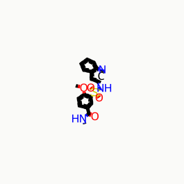 CNC(=O)c1ccc(OC)c(S(=O)(=O)Nc2cnc3ccccc3c2)c1